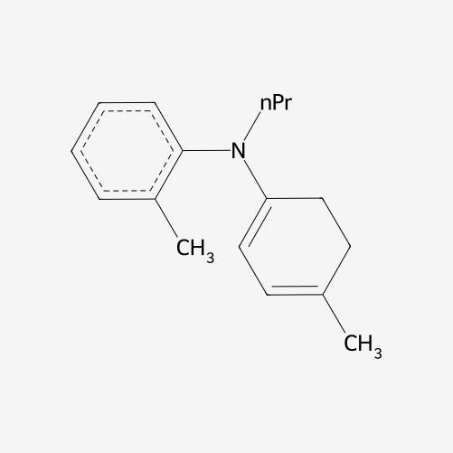 CCCN(C1=CC=C(C)CC1)c1ccccc1C